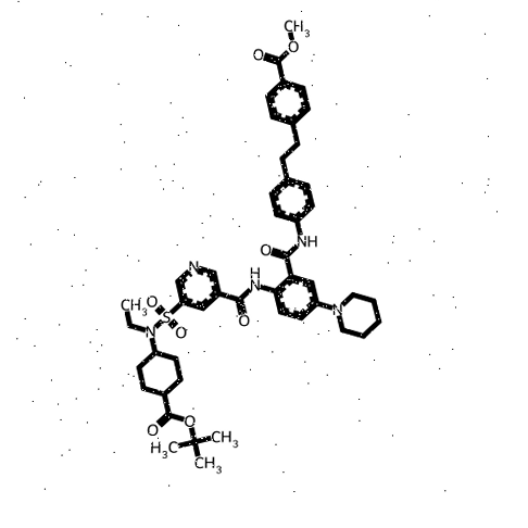 CCN(C1CCC(C(=O)OC(C)(C)C)CC1)S(=O)(=O)c1cncc(C(=O)Nc2ccc(N3CCCCC3)cc2C(=O)Nc2ccc(CCc3ccc(C(=O)OC)cc3)cc2)c1